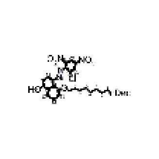 CCCCCCCCCCCCCCCCCCOc1cccc2c(O)ccc(/N=N/c3c(Cl)cc([N+](=O)[O-])cc3[N+](=O)[O-])c12